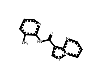 Cc1cccnc1NC(=O)c1cnn2cccnc12